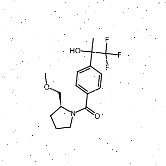 COC[C@@H]1CCCN1C(=O)c1ccc(C(C)(O)C(F)(F)F)cc1